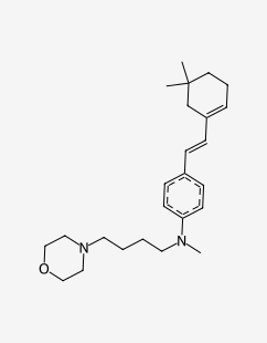 CN(CCCCN1CCOCC1)c1ccc(C=CC2=CCCC(C)(C)C2)cc1